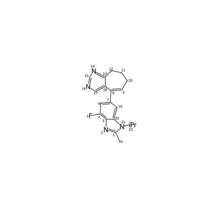 Cc1nc2c(F)cc(C3=CCCCc4ncncc43)cc2n1C(C)C